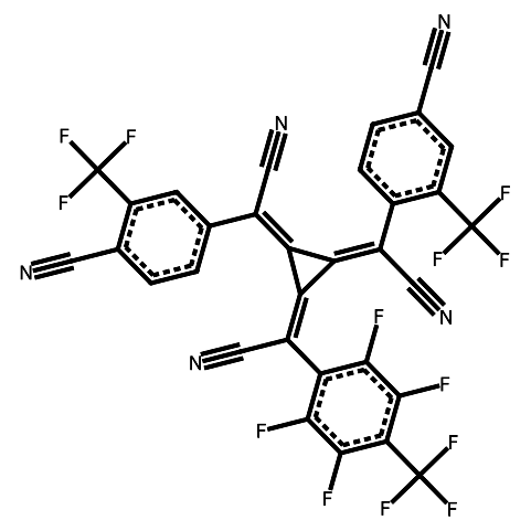 N#CC(=C1C(=C(/C#N)c2ccc(C#N)cc2C(F)(F)F)/C1=C(/C#N)c1c(F)c(F)c(C(F)(F)F)c(F)c1F)c1ccc(C#N)c(C(F)(F)F)c1